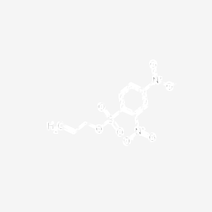 C=CCOS(=O)(=O)c1ccc([N+](=O)[O-])cc1[N+](=O)[O-]